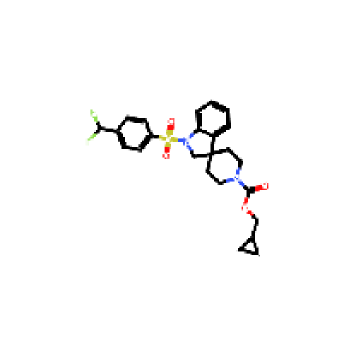 O=C(OCC1CC1)N1CCC2(CC1)CN(S(=O)(=O)c1ccc(C(F)F)cc1)c1ccccc12